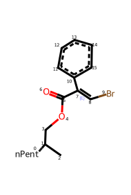 CCCCCC(C)COC(=O)/C(=C/Br)c1ccccc1